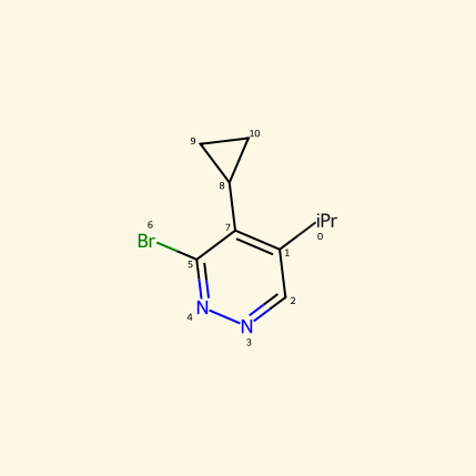 CC(C)c1cnnc(Br)c1C1CC1